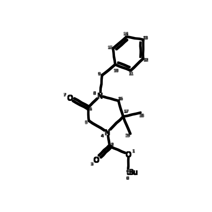 CC(C)(C)OC(=O)N1CC(=O)N(Cc2ccccc2)CC1(C)C